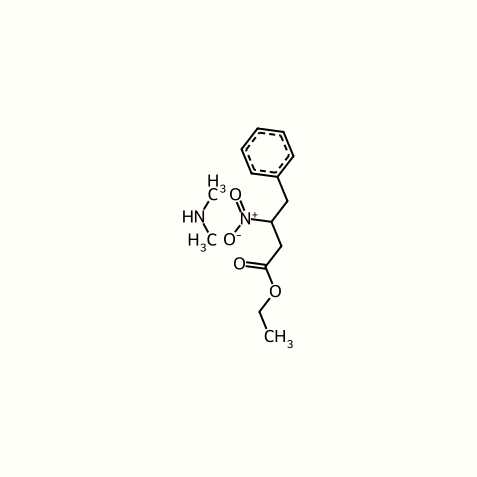 CCOC(=O)CC(Cc1ccccc1)[N+](=O)[O-].CNC